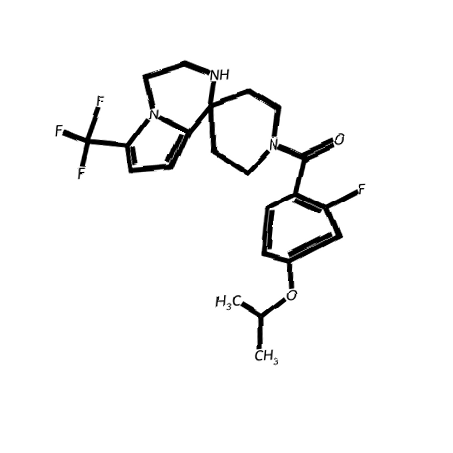 CC(C)Oc1ccc(C(=O)N2CCC3(CC2)NCCn2c(C(F)(F)F)ccc23)c(F)c1